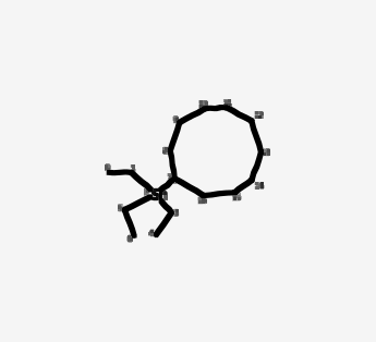 C[CH2][Sn]([CH2]C)([CH2]C)[C]1CCCCCCCCC1